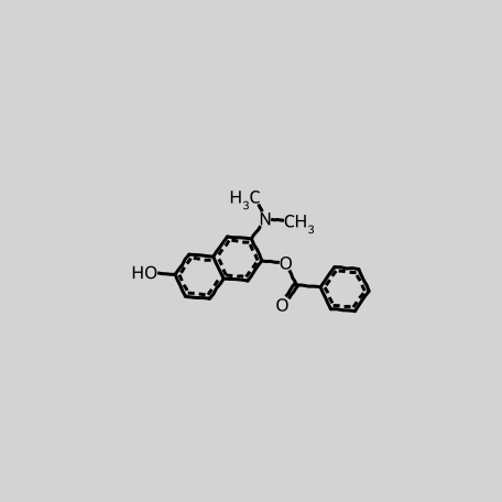 CN(C)c1cc2cc(O)ccc2cc1OC(=O)c1ccccc1